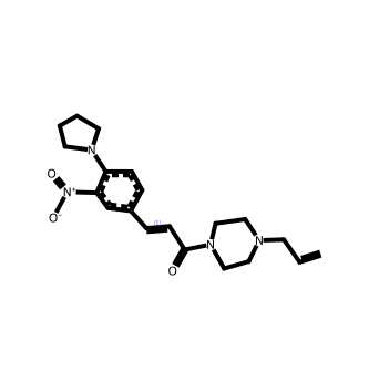 C=CCN1CCN(C(=O)/C=C/c2ccc(N3CCCC3)c([N+](=O)[O-])c2)CC1